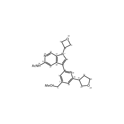 COCc1cc(-c2cn(C3COC3)c3cnc(NC(C)=O)cc23)nc(C2CCOC2)c1